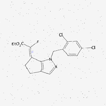 CCOC(=O)/C(F)=C1\CCc2cnn(Cc3ccc(Cl)cc3Cl)c21